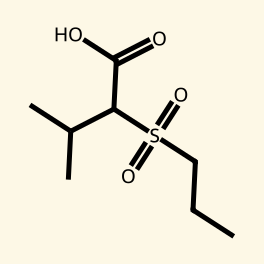 CCCS(=O)(=O)C(C(=O)O)C(C)C